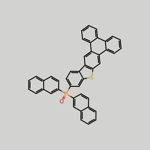 O=P(c1ccc2ccccc2c1)(c1ccc2ccccc2c1)c1ccc2c(c1)sc1cc3c4ccccc4c4ccccc4c3cc12